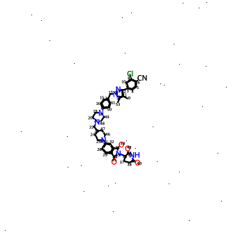 Cc1c(-c2ccc(C#N)c(Cl)c2)nn(Cc2ccc(N3CCN(CC4CCN(c5ccc6c(c5)C(=O)N(C5CCC(=O)NC5=O)C6=O)CC4)CC3)cc2)c1C